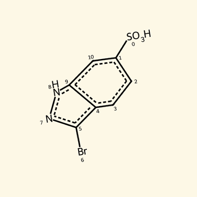 O=S(=O)(O)c1ccc2c(Br)n[nH]c2c1